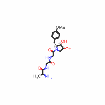 COc1ccc(C[C@@H]2[C@H](O)[C@@H](O)CN2C(=O)CNC(=O)CNC(=O)C(C)N)cc1